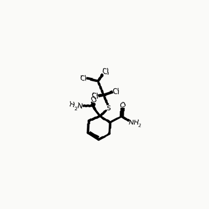 NC(=O)C1CC=CCC1(SC(Cl)(Cl)C(Cl)Cl)C(N)=O